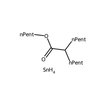 CCCCCOC(=O)C(CCCCC)CCCCC.[SnH4]